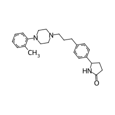 Cc1ccccc1N1CCN(CCCc2ccc(C3CCC(=O)N3)cc2)CC1